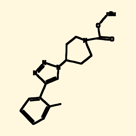 CCCCOC(=O)N1CCC(n2cc(-c3ccccc3C)nn2)CC1